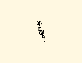 C=CC(=O)OCCCCCCOc1ccc(C(=O)Oc2ccc(-c3ccc(CCCCCC)cn3)cc2)cc1